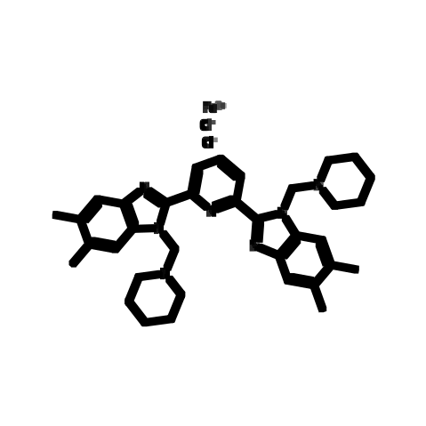 Cc1cc2nc(-c3cccc(-c4nc5cc(C)c(C)cc5n4CN4CCCCC4)n3)n(CN3CCCCC3)c2cc1C.[Cl-].[Cl-].[Fe+2]